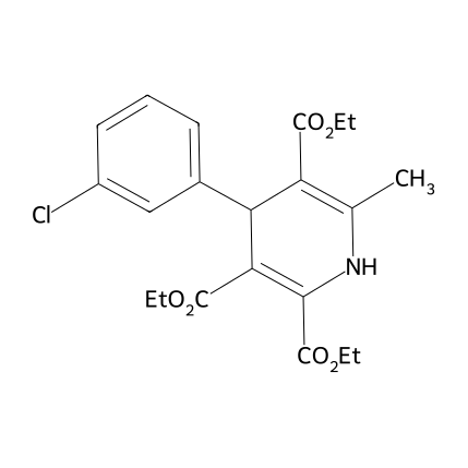 CCOC(=O)C1=C(C(=O)OCC)C(c2cccc(Cl)c2)C(C(=O)OCC)=C(C)N1